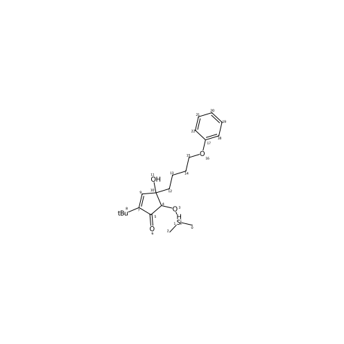 C[SiH](C)OC1C(=O)C(C(C)(C)C)=CC1(O)CCCCOc1ccccc1